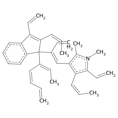 C=C/C=C\C(=C/C)C1(/C(C=C)=C/c2c(/C=C\C)c(C=C)n(C)c2C)C(/C=C\C)=C(C=C)c2ccccc21